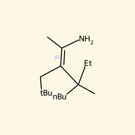 CCCCC(C)(CC)/C(CC(C)(C)C)=C(/C)N